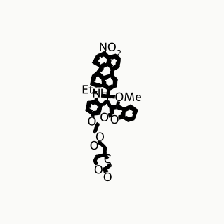 CCNc1ccc(OCCOC(=O)CC2CCOC(=O)CC2)cc1[C@H](c1c(OC)c2ccccc2oc1=O)C(C)(C)c1ccc2c3cccc4c([N+](=O)[O-])ccc(c5cccc1c52)c43